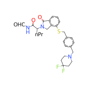 CCCC(C(=O)NC=O)N1Cc2c(SCc3ccc(CN4CCC(F)(F)CC4)cc3)cccc2C1=O